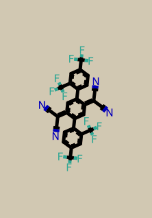 N#CC(C#N)=c1cc(-c2ccc(C(F)(F)F)cc2C(F)(F)F)c(=C(C#N)C#N)cc1-c1ccc(C(F)(F)F)cc1C(F)(F)F